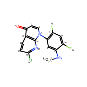 O=C(O)Nc1cc(-n2ccc(=O)c3ccc(Cl)nc32)c(F)cc1F